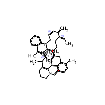 C=C(/C=C\CN(C(=C)/N=C\C(=C/C)C1=CC=CN2CCCC(C(C)CC)=C12)c1ccccc1C(=C)C)/C(=C/C)CCCC(C)Cc1ccccc1C